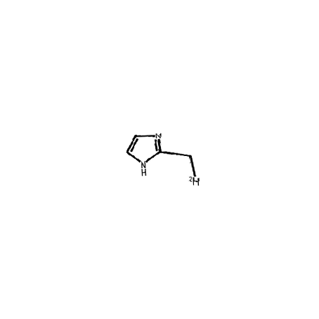 [2H]Cc1ncc[nH]1